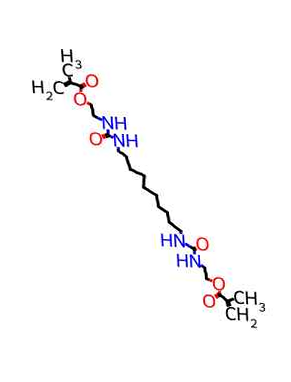 C=C(C)C(=O)OCCNC(=O)NCCCCCCCCCCNC(=O)NCCOC(=O)C(=C)C